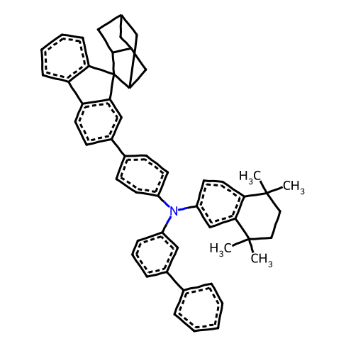 CC1(C)CCC(C)(C)c2cc(N(c3ccc(-c4ccc5c(c4)C4(c6ccccc6-5)C5CC6CC(C5)C4C6)cc3)c3cccc(-c4ccccc4)c3)ccc21